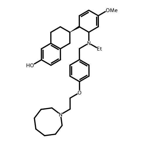 CCN(Cc1ccc(OCCN2CCCCCCC2)cc1)C1C=C(OC)C=CC1[C@@H]1CCc2cc(O)ccc2C1